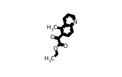 CCOC(=O)C(=O)c1ccc2ncccc2c1C